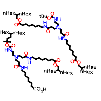 CCCCCCC(CCCCCC)CCC(C)(C)OC(=O)NCCN(CCC(=O)NCCCCCCCC(=O)O)CCC(=O)NCCCCCCCC(=O)OCC(CCCCCC)CCCCCC.CCCCCCC(CCCCCC)COC(=O)CCCCCCCNC(=O)CCN(CCNC(=O)OC(C)(C)C)CCC(=O)NCCCCCCCC(=O)OCC(CCCCCC)CCCCCC